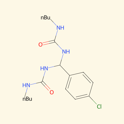 CCCCNC(=O)NC(NC(=O)NCCCC)c1ccc(Cl)cc1